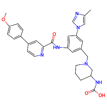 COc1ccc(-c2ccnc(C(=O)Nc3cc(CN4CCCC(NC(=O)O)C4)cc(-n4cnc(C)c4)c3)c2)cc1